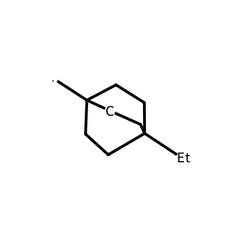 [CH2]C12CCC(CC)(CC1)CC2